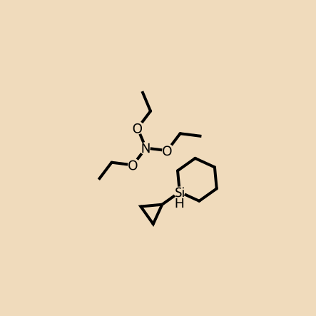 C1CC[SiH](C2CC2)CC1.CCON(OCC)OCC